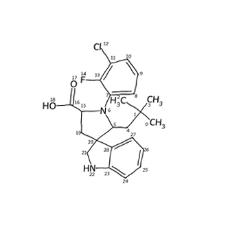 CC(C)(C)CC1N(c2cccc(Cl)c2F)C(C(=O)O)CC12CNc1ccccc12